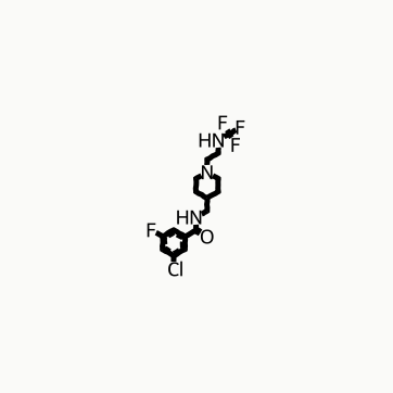 O=C(NCC1CCN(CCNC(F)(F)F)CC1)c1cc(F)cc(Cl)c1